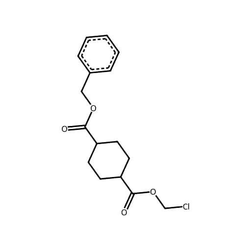 O=C(OCCl)C1CCC(C(=O)OCc2ccccc2)CC1